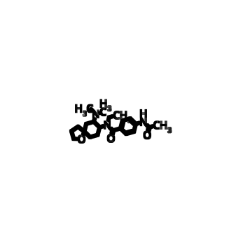 CCN(C(=O)c1ccc(NC(C)=O)cc1)C1CCC2(CCCO2)CC1N(C)C